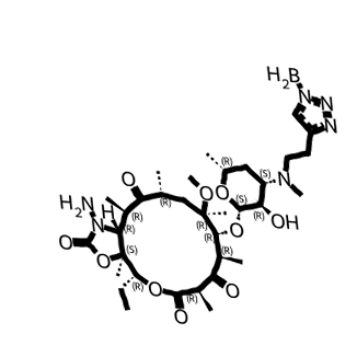 Bn1cc(CCN(C)[C@H]2C[C@@H](C)O[C@@H](O[C@@H]3[C@@H](C)C(=O)[C@@H](C)C(=O)O[C@H](CC)[C@@]4(C)OC(=O)N(N)[C@@H]4[C@@H](C)C(=O)[C@H](C)C[C@@]3(C)OC)[C@@H]2O)nn1